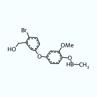 CBOc1ccc(Oc2ccc(Br)c(CO)c2)cc1OC